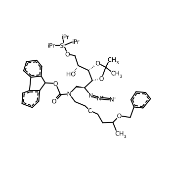 CC(CCCCCN(C[C@H](N=[N+]=[N-])[C@H]1OC(C)(C)O[C@H]1[C@H](O)CO[Si](C(C)C)(C(C)C)C(C)C)C(=O)OC1c2ccccc2-c2ccccc21)OCc1ccccc1